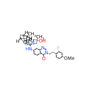 COc1ccc(CCn2cnc3cc(N/C(=N/[C@H]4C[C@@H]5C[C@H]([C@@H]4C)C5(C)C)N4CC(C)(O)C4)ccc3c2=O)c(F)c1